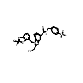 CCS(=O)(=O)c1ccc(CNC(=O)c2ccc3c(c2)nc(CC(C)C)n3Cc2cccc3c2OC(F)(F)O3)cc1